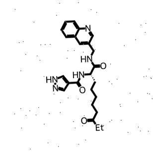 CCC(=O)CCCCC[C@H](NC(=O)c1cn[nH]c1)C(=O)NCc1cnc2ccccc2c1